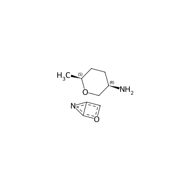 C[C@H]1CC[C@@H](N)CO1.c1oc2nc1-2